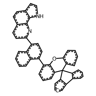 c1ccc2c(c1)Oc1c(-c3ccc(-c4ccc5ccc6cc[nH]c6c5n4)c4ccccc34)cccc1C21c2ccccc2-c2ccccc21